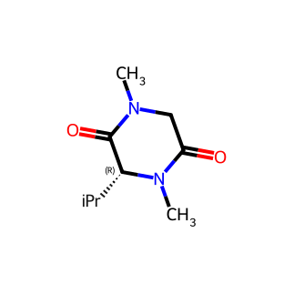 CC(C)[C@@H]1C(=O)N(C)CC(=O)N1C